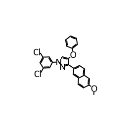 COc1ccc2cc(-c3nn(-c4cc(Cl)cc(Cl)c4)cc3Oc3ccccc3)ccc2c1